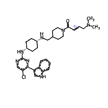 CN(C)C/C=C/C(=O)N1CCC(CN[C@H]2CC[C@@H](Nc3ncc(Cl)c(-c4c[nH]c5ccccc45)n3)CC2)CC1